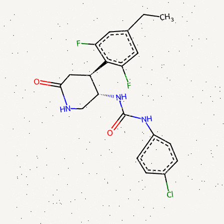 CCc1cc(F)c([C@@H]2CC(=O)NC[C@H]2NC(=O)Nc2ccc(Cl)cc2)c(F)c1